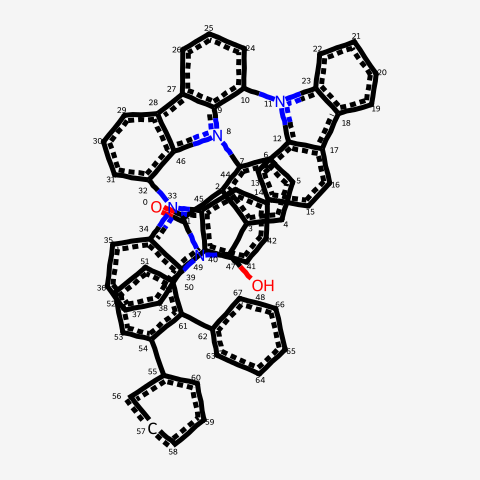 O=C1c2c(cccc2-n2c3c(-n4c5ccccc5c5ccccc54)cccc3c3cccc(-n4c5ccccc5c5ccccc54)c32)C(O)N1c1cccc(-c2ccccc2)c1-c1ccccc1